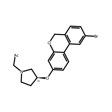 CC(=O)CN1CC[C@H](Oc2ccc3c(c2)OCc2ccc(Br)cc2-3)C1